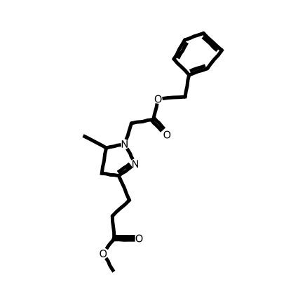 COC(=O)CCC1=NN(CC(=O)OCc2ccccc2)C(C)C1